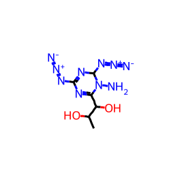 CC(O)C(O)C1=NC(N=[N+]=[N-])=NC(N=[N+]=[N-])N1N